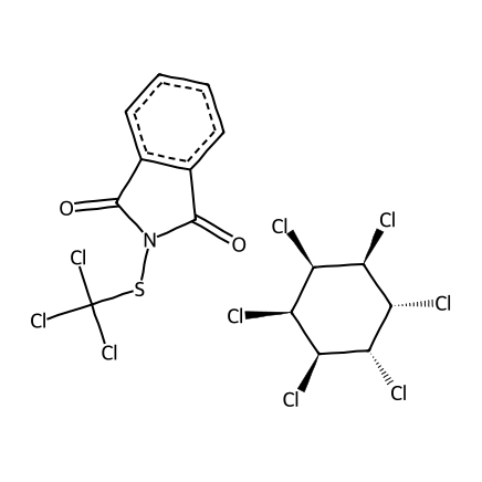 Cl[C@H]1[C@H](Cl)[C@H](Cl)[C@@H](Cl)[C@@H](Cl)[C@H]1Cl.O=C1c2ccccc2C(=O)N1SC(Cl)(Cl)Cl